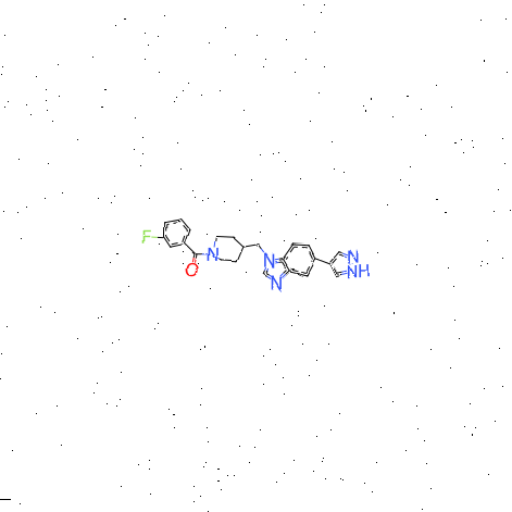 O=C(c1cccc(F)c1)N1CCC(Cn2cnc3cc(-c4cn[nH]c4)ccc32)CC1